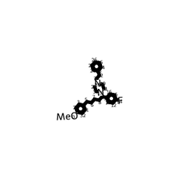 COc1ccc(CCCCC(c2ccc(F)cc2)N2CCN(CCc3ccccc3)CC2)cc1